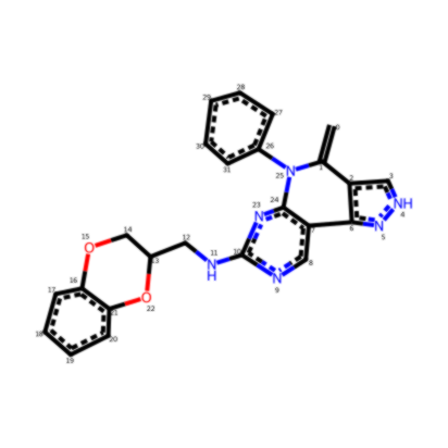 C=C1c2c[nH]nc2-c2cnc(NCC3COc4ccccc4O3)nc2N1c1ccccc1